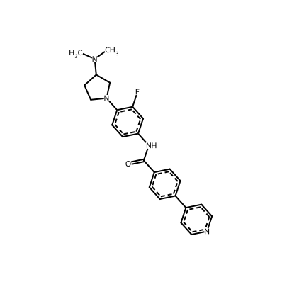 CN(C)C1CCN(c2ccc(NC(=O)c3ccc(-c4ccncc4)cc3)cc2F)C1